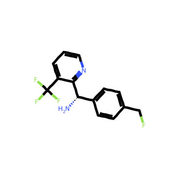 N[C@@H](c1ccc(CF)cc1)c1ncccc1C(F)(F)F